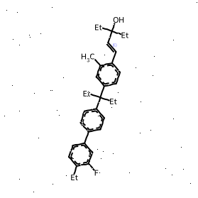 CCc1ccc(-c2ccc(C(CC)(CC)c3ccc(/C=C/C(O)(CC)CC)c(C)c3)cc2)cc1F